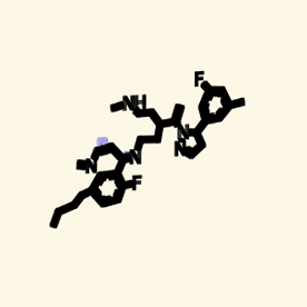 C=N/C=C\C(=N/CCC(CCNC)C(=C)N1N=CCC1c1cc(C)cc(F)c1)c1cc(CCCC)ccc1F